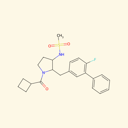 CS(=O)(=O)NC1CCN(C(=O)C2CCC2)C1Cc1ccc(F)c(-c2ccccc2)c1